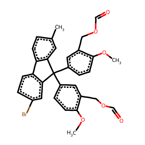 COc1ccc(C2(c3ccc(OC)c(COC=O)c3)c3cc(C)ccc3-c3ccc(Br)cc32)cc1COC=O